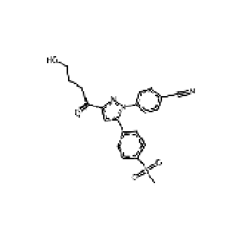 CS(=O)(=O)c1ccc(-c2cc(C(=O)CCCO)nn2-c2ccc(C#N)cc2)cc1